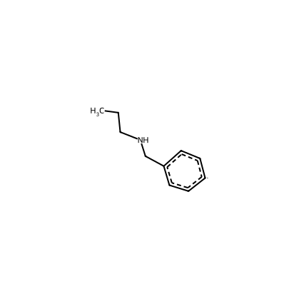 CCCNCc1cc[c]cc1